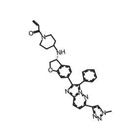 C=CC(=O)N1CCC(N[C@H]2COc3cc(-c4nc5ccc(-c6cn(C)nn6)nn5c4-c4ccccc4)ccc32)CC1